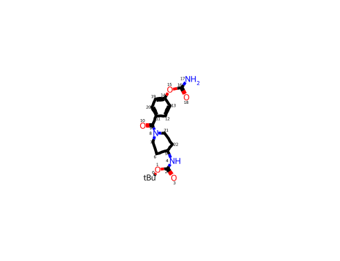 CC(C)(C)OC(=O)NC1CCN(C(=O)c2ccc(OC(N)=O)cc2)CC1